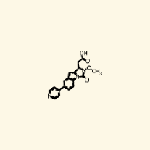 CON1C(=O)n2c(cc3cc(-c4ccncc4)ccc32)C1CC(=O)O